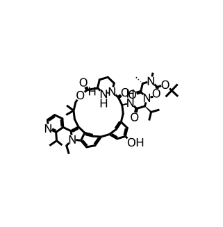 CCn1c(-c2cccnc2C(C)C)c2c3cc(ccc31)-c1cc(O)cc(c1)C[C@H](NC(=O)[C@H](C(C)C)N(C)C(=O)[C@H](C)N(C)C(=O)OC(C)(C)C)C(=O)N1CCC[C@H](N1)C(=O)OCC(C)(C)C2